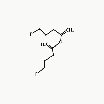 C=C(CCCF)OC(=C)CCCF